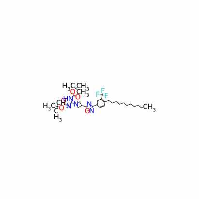 CCCCCCCCCCCc1ccc(-c2noc(C3CN(/C(=N/C(=O)OC(C)(C)C)NC(=O)OC(C)(C)C)C3)n2)cc1C(F)(F)F